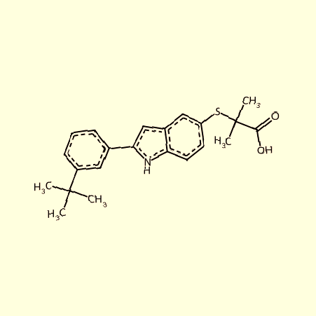 CC(C)(Sc1ccc2[nH]c(-c3cccc(C(C)(C)C)c3)cc2c1)C(=O)O